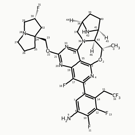 C[C@@H]1Oc2nc(-c3cc(N)c(F)c(F)c3CC(F)(F)F)c(F)c3nc(OC[C@@]45CCCN4C[C@H](F)C5)nc(c23)N2C[C@H]3CC[C@H](N3)[C@@H]12